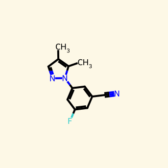 Cc1cnn(-c2cc(F)cc(C#N)c2)c1C